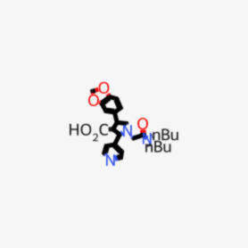 CCCCN(CCCC)C(=O)CN1CC(c2ccc3c(c2)OCO3)C(C(=O)O)C1c1ccncc1